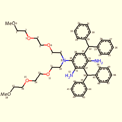 COCCOCCOCCN(CCOCCOCCOC)c1cc(C(c2ccccc2)c2ccccc2)c(N)c(C(c2ccccc2)c2ccccc2)c1N